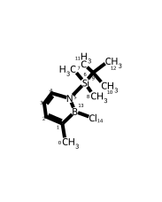 CC1=CC=CN([Si](C)(C)C(C)(C)C)B1Cl